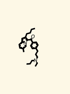 CCCCc1cc2ccc(C)cn2c1C(=O)c1ccc(CCCN(CC)CCC)cc1